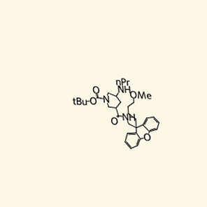 CCCNC1CC(C(=O)NCC2(CCCCOC)c3ccccc3Oc3ccccc32)CN(C(=O)OC(C)(C)C)C1